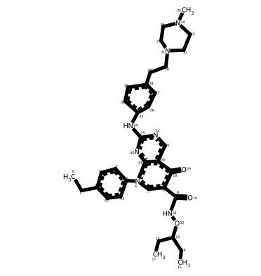 CCc1ccc(-n2cc(C(=O)NOC(CC)CC)c(=O)c3cnc(Nc4ccc(CCN5CCN(C)CC5)cc4)nc32)cc1